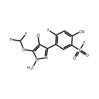 Cn1nc(-c2cc(S(=O)(=O)F)c(C#N)cc2F)c(Cl)c1OC(F)F